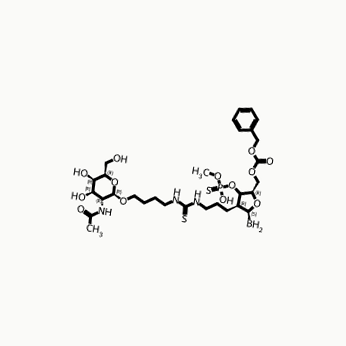 B[C@@H]1O[C@H](COC(=O)OCc2ccccc2)C(OP(O)(=S)OC)[C@@H]1CCCNC(=S)NCCCCO[C@@H]1O[C@H](CO)[C@H](O)[C@H](O)[C@H]1NC(C)=O